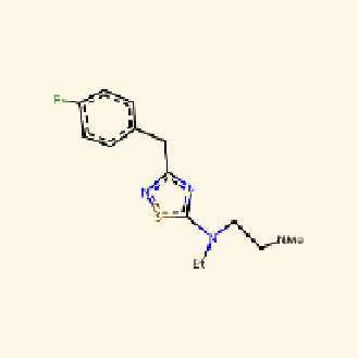 CCN(CCNC)c1nc(Cc2ccc(F)cc2)ns1